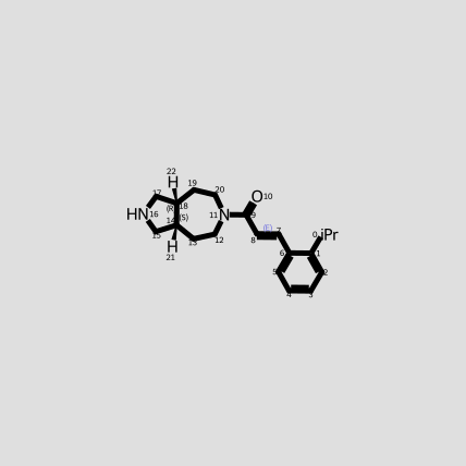 CC(C)c1ccccc1/C=C/C(=O)N1CC[C@@H]2CNC[C@@H]2CC1